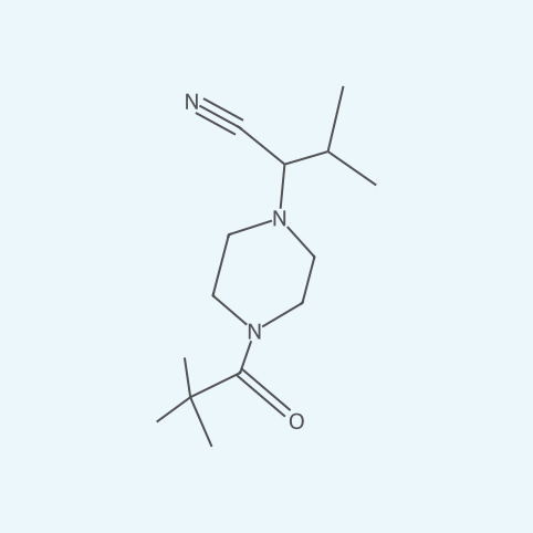 CC(C)C(C#N)N1CCN(C(=O)C(C)(C)C)CC1